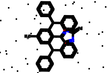 Cc1cc(C(c2ccccc2)c2ccccc2)c(C2=N[C](=[Pd])N=C2)c(C(c2ccccc2)c2ccccc2)c1